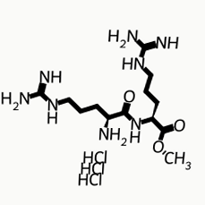 COC(=O)[C@H](CCCNC(=N)N)NC(=O)[C@@H](N)CCCNC(=N)N.Cl.Cl.Cl